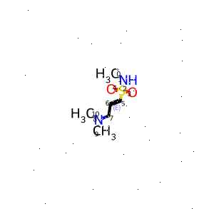 CNS(=O)(=O)/C=C/CN(C)C